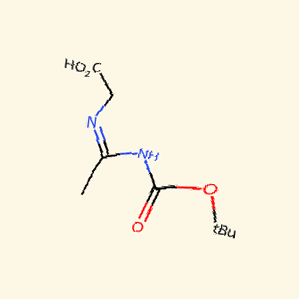 C/C(=N/CC(=O)O)NC(=O)OC(C)(C)C